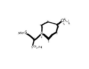 [CH2]C1CCN(C(OC)C(=O)O)CC1